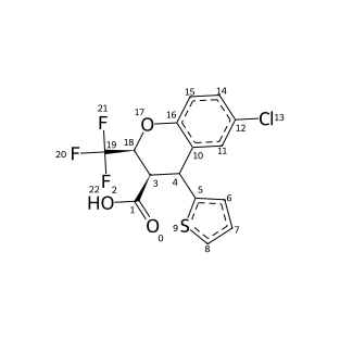 O=C(O)[C@@H]1C(c2cccs2)c2cc(Cl)ccc2O[C@@H]1C(F)(F)F